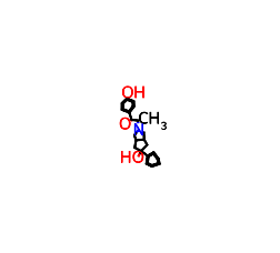 CC(C(=O)c1ccc(O)cc1)N1CC2CC(O)(c3ccccc3)CC2C1